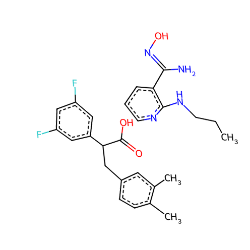 CCCNc1ncccc1C(N)=NO.Cc1ccc(CC(C(=O)O)c2cc(F)cc(F)c2)cc1C